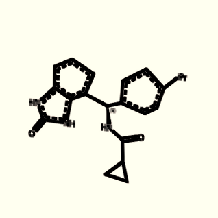 CC(C)c1ccc([C@@H](NC(=O)C2CC2)c2cccc3[nH]c(=O)[nH]c23)cc1